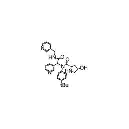 CC(C)(C)c1ccc(N(C(=O)[C@H]2C[C@@H](O)CN2)C(C(=O)NCc2cccnc2)c2cccnc2)cc1